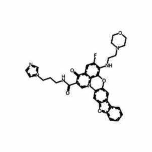 O=C(NCCCn1ccnc1)c1cn2c3c(c(NCCN4CCOCC4)c(F)cc3c1=O)Oc1cc3c(cc1-2)oc1ccccc13